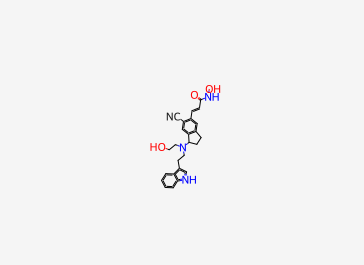 N#Cc1cc2c(cc1/C=C/C(=O)NO)CCC2N(CCO)CCc1c[nH]c2ccccc12